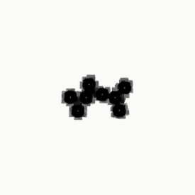 c1ccc(-c2cc(-c3ccc(-n4c5ccccc5c5cc(N(c6ccccc6)c6ccccc6)ccc54)cc3)cc(-c3ccccc3)n2)cc1